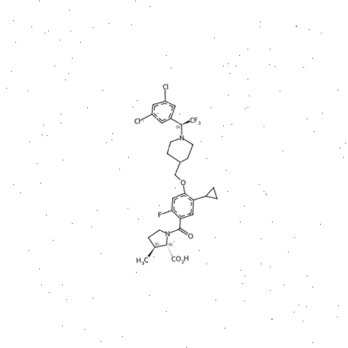 C[C@H]1CCN(C(=O)c2cc(C3CC3)c(OCC3CCN([C@@H](c4cc(Cl)cc(Cl)c4)C(F)(F)F)CC3)cc2F)[C@@H]1C(=O)O